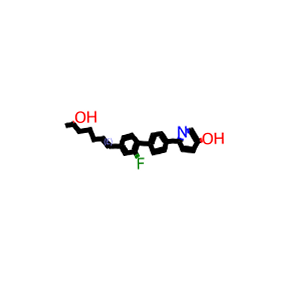 CC(O)CCC/C=C/c1ccc(-c2ccc(-c3ccc(O)cn3)cc2)c(F)c1